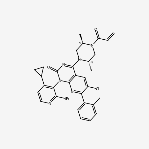 C=CC(=O)N1C[C@H](C)N(c2nc(=O)n(-c3c(C4CC4)ccnc3C(C)C)c3nc(-c4ccccc4C)c(Cl)cc23)C[C@H]1C